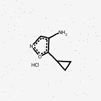 Cl.Nc1cnoc1C1CC1